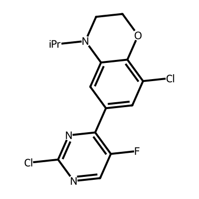 CC(C)N1CCOc2c(Cl)cc(-c3nc(Cl)ncc3F)cc21